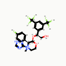 C[N+]1(c2nc[nH]n2)CCO[C@H](O[C@H](CO)c2cc(C(F)(F)F)cc(C(F)(F)F)c2)[C@@H]1c1ccc(F)cc1